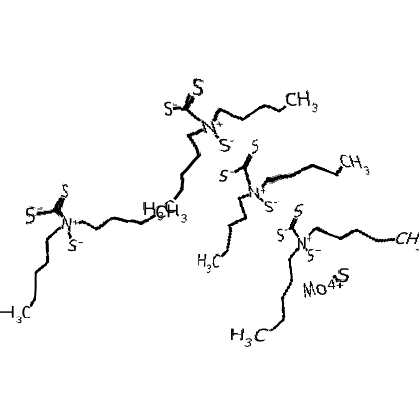 CCCCC[N+]([S-])(CCCCC)C(=S)[S-].CCCCC[N+]([S-])(CCCCC)C(=S)[S-].CCCCC[N+]([S-])(CCCCC)C(=S)[S-].CCCCC[N+]([S-])(CCCCC)C(=S)[S-].[S]=[Mo+4]